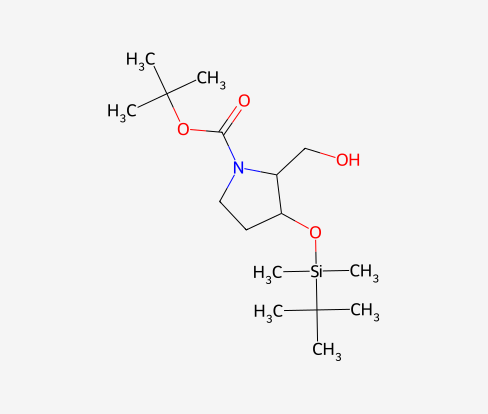 CC(C)(C)OC(=O)N1CCC(O[Si](C)(C)C(C)(C)C)C1CO